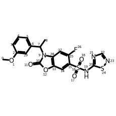 COc1cccc(C(C)n2c(=O)oc3cc(S(=O)(=O)Nc4ncns4)c(F)cc32)c1